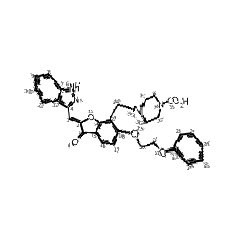 O=C1C(=Cc2n[nH]c3ccccc23)Oc2c1ccc(OCCOc1ccccc1)c2CN1CCN(C(=O)O)CC1